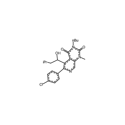 CCCCn1c(=O)c2c(C(O)CC(C)C)c(-c3ccc(Cl)cc3)ncc2n(C)c1=O